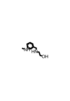 CNc1cccc(CNCCO)c1